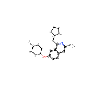 CC[C@H]1CC[C@H](Oc2ccc3cc(C(=O)O)nc(CC4CCCC4)c3c2)CC1